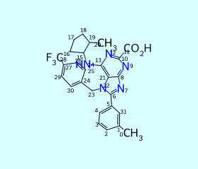 Cc1cccc(-c2nc3nc(C(=O)O)nc(NC4CCCC4C)c3n2Cc2ccc(C(F)(F)F)cc2)c1